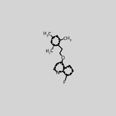 Cc1cc(C)c(CCOc2ccnc3c(F)cccc23)c(C)c1